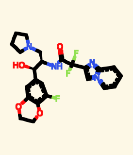 O=C(N[C@H](CN1CCCC1)[C@H](O)c1cc(F)c2c(c1)OCCO2)C(F)(F)c1cn2ccccc2n1